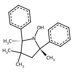 CC1(C)C[C@@](C)(c2ccccc2)N(O)[C@]1(C)c1ccccc1